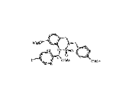 COc1ccc(CN2Cc3ccc(OC)cc3[C@H]([C@@H](OC)c3ncc(F)cn3)S2(=O)=O)cc1